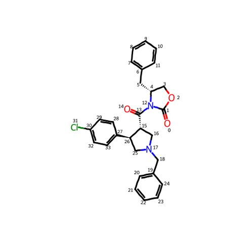 O=C1OC[C@@H](Cc2ccccc2)N1C(=O)[C@@H]1CN(Cc2ccccc2)C[C@H]1c1ccc(Cl)cc1